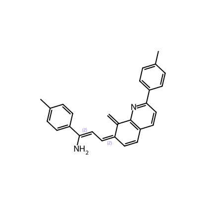 C=c1/c(=C\C=C(/N)c2ccc(C)cc2)ccc2ccc(-c3ccc(C)cc3)nc12